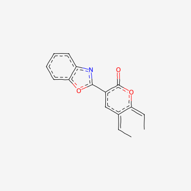 C/C=c1/cc(-c2nc3ccccc3o2)c(=O)o/c1=C/C